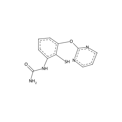 NC(=O)Nc1cccc(Oc2ncccn2)c1S